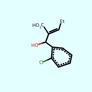 CCC=C(C(=O)O)C(O)c1ccccc1Cl